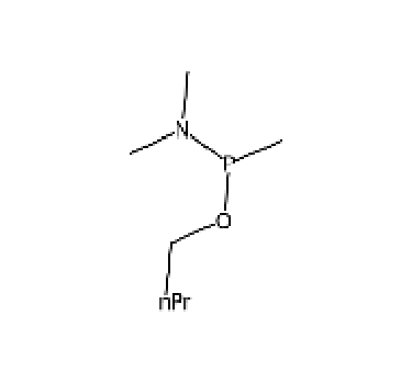 CCCCOP(C)N(C)C